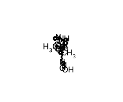 Cc1c(CCCCN2CCN(CC(=O)O)CC2)cccc1-c1ccc(N2CCc3cccc(C(=O)Nc4nc5ccccc5s4)c3C2)nc1C(=O)OC(C)(C)C